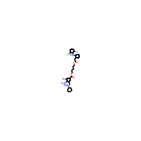 CCN(Cc1cc(C(=O)OCCCCCOC(=O)Cc2ccccc2Nc2c(Cl)cccc2Cl)cc(Br)c1N)C1CCCCC1